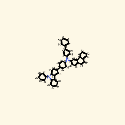 c1ccc(-c2ccc(N(c3ccc(-c4ccc5c(c4)c4ccccc4n5-c4ccccc4)cc3)c3ccc4ccc5ccccc5c4c3)cc2)cc1